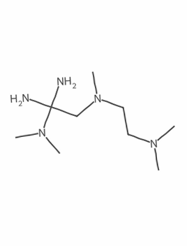 CN(C)CCN(C)CC(N)(N)N(C)C